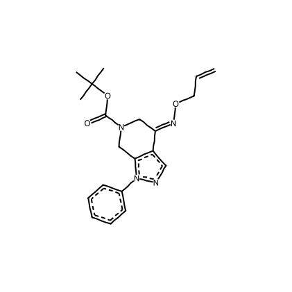 C=CCON=C1CN(C(=O)OC(C)(C)C)Cc2c1cnn2-c1ccccc1